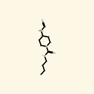 CCCCOC(=O)N1CCC(NC=O)CC1